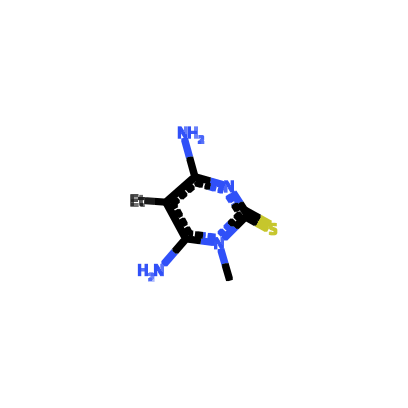 CCc1c(N)nc(=S)n(C)c1N